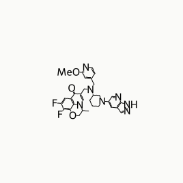 COc1cc(CN(Cc2cn3c4c(c(F)c(F)cc4c2=O)OCC3C)[C@H]2CCCN(c3cnc4[nH]ncc4c3)C2)ccn1